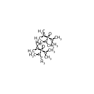 CN(C)P(=O)(N(C)C)N(C)C.CN(C)P(=O)(N(C)C)N(C)C